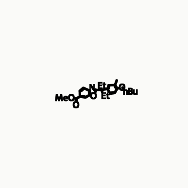 CCCCOc1ccc(C(CC)(CC)c2nc3ccc(C(=O)OC)cc3o2)cc1C